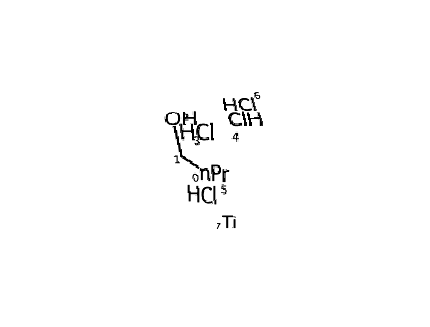 CCCCO.Cl.Cl.Cl.Cl.[Ti]